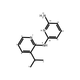 CC(C)c1cccnc1Nc1cccc(N)n1